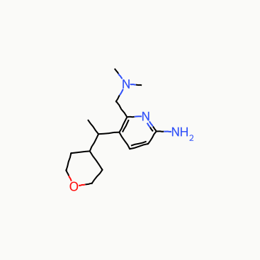 CC(c1ccc(N)nc1CN(C)C)C1CCOCC1